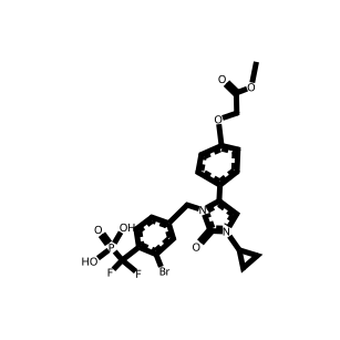 COC(=O)COc1ccc(-c2cn(C3CC3)c(=O)n2Cc2ccc(C(F)(F)P(=O)(O)O)c(Br)c2)cc1